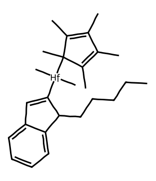 CCCCCC1[C]([Hf]([CH3])([CH3])[C]2(C)C(C)=C(C)C(C)=C2C)=Cc2ccccc21